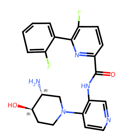 N[C@@H]1CN(c2ccncc2NC(=O)c2ccc(F)c(-c3ccccc3F)n2)CC[C@H]1O